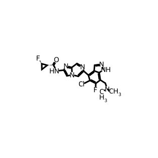 CN(C)Cc1c(F)c(Cl)c(-c2cn3cc(NC(=O)[C@@H]4C[C@@H]4F)nc3cn2)c2cn[nH]c12